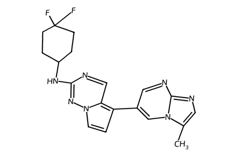 Cc1cnc2ncc(-c3ccn4nc(NC5CCC(F)(F)CC5)ncc34)cn12